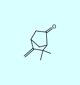 C=C1C2CC(=O)C(C2)C1(C)C